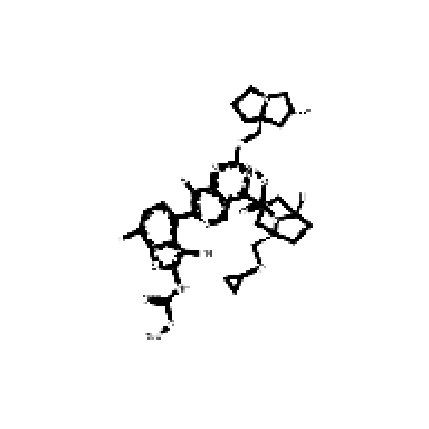 CC(C)(C)OC(=O)Nc1sc2c(F)ccc(-c3ncc4c(N5C[C@@H]6CC[C@](COC7CC7)(C5)N6C(=O)OC(C)(C)C)nc(OC[C@@]56CCCN5C[C@H](F)C6)nc4c3F)c2c1C#N